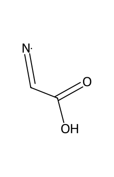 [N]=CC(=O)O